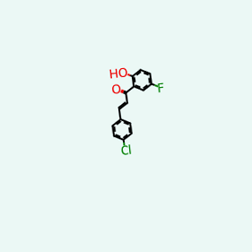 O=C(/C=C/c1ccc(Cl)cc1)c1cc(F)ccc1O